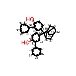 Oc1ccc(C2(c3ccc(O)c(-c4ccccc4)c3)C3CC4CC(C3)CC2C4)cc1-c1ccccc1